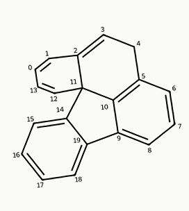 C1=CC2=CCc3cccc4c3C2(C=C1)c1ccccc1-4